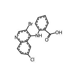 O=C(O)c1ccccc1Nc1c(Br)cnc2ccc(Cl)cc12